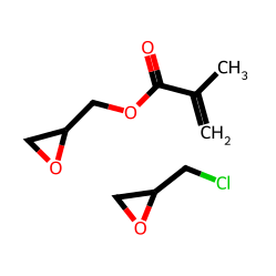 C=C(C)C(=O)OCC1CO1.ClCC1CO1